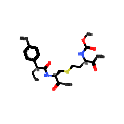 COC(=O)[C@H](CCSC[C@H](NC(=O)[C@H](CC(C)C)c1ccc(OC)cc1)C(=O)OC)NC(=O)OC(C)(C)C